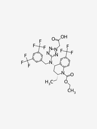 CCOC(=O)N1c2ccc(C(F)(F)F)cc2[C@@H](N(Cc2cc(C(F)(F)F)cc(C(F)(F)F)c2)c2nnn(CC(=O)O)n2)C[C@H]1CC